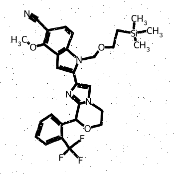 COc1c(C#N)ccc2c1cc(-c1cn3c(n1)C(c1ccccc1C(F)(F)F)OCC3)n2COCC[Si](C)(C)C